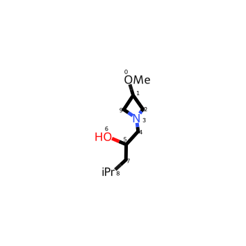 COC1CN(CC(O)CC(C)C)C1